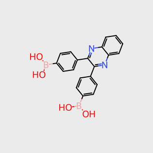 OB(O)c1ccc(-c2nc3ccccc3nc2-c2ccc(B(O)O)cc2)cc1